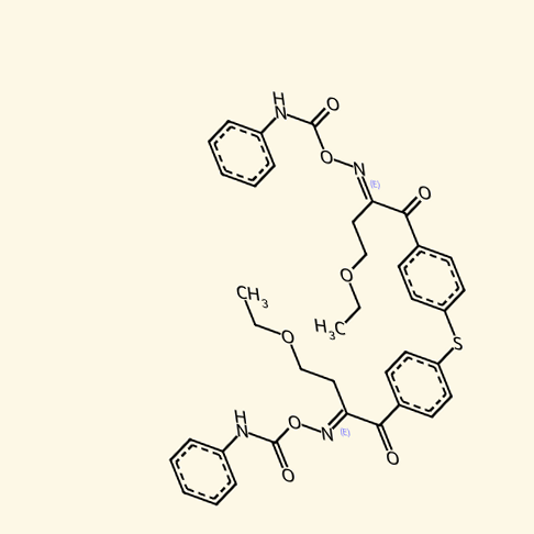 CCOCC/C(=N\OC(=O)Nc1ccccc1)C(=O)c1ccc(Sc2ccc(C(=O)/C(CCOCC)=N/OC(=O)Nc3ccccc3)cc2)cc1